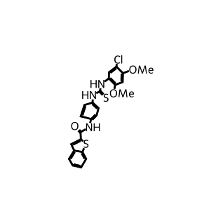 COc1cc(OC)c(NC(=S)Nc2ccc(NC(=O)c3cc4ccccc4s3)cc2)cc1Cl